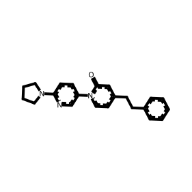 O=c1cc(CCc2ccccc2)ccn1-c1ccc(N2CCCC2)nc1